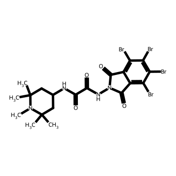 CN1C(C)(C)CC(NC(=O)C(=O)NN2C(=O)c3c(Br)c(Br)c(Br)c(Br)c3C2=O)CC1(C)C